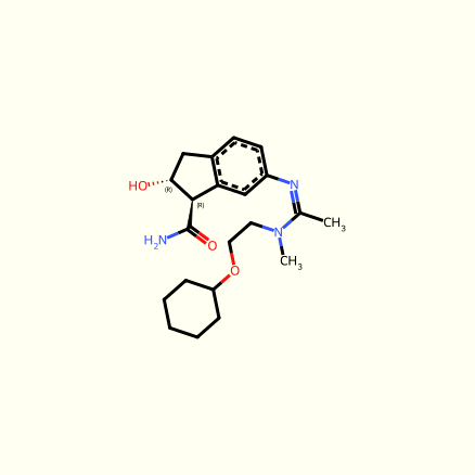 CC(=Nc1ccc2c(c1)[C@@H](C(N)=O)[C@H](O)C2)N(C)CCOC1CCCCC1